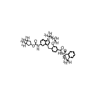 [2H]C([2H])([2H])Oc1cc(C(=O)NS(=O)(=O)c2ccccc2C([2H])([2H])[2H])ccc1Cc1cn(C([2H])([2H])[2H])c2ccc(NC(=O)OC3CC([2H])([2H])C([2H])([2H])C3)cc12